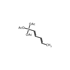 CC=CC=C[Si](OC(C)=O)(OC(C)=O)OC(C)=O